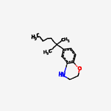 CCCC(C)(C)c1ccc2c(c1)NCCO2